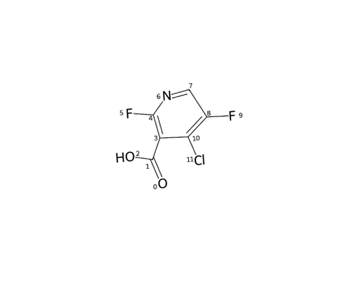 O=C(O)c1c(F)ncc(F)c1Cl